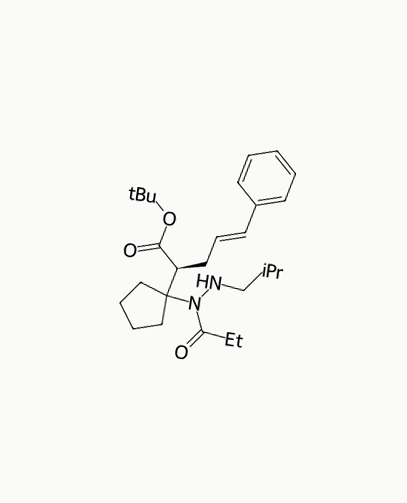 CCC(=O)N(NCC(C)C)C1([C@H](C/C=C/c2ccccc2)C(=O)OC(C)(C)C)CCCC1